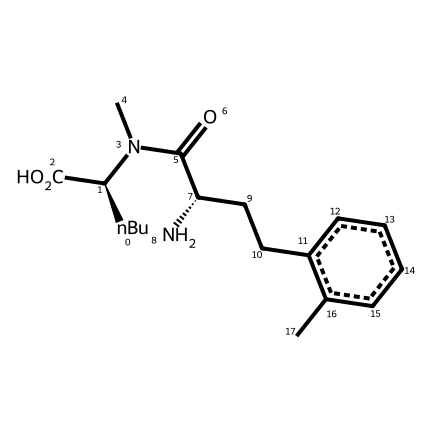 CCCC[C@@H](C(=O)O)N(C)C(=O)[C@@H](N)CCc1ccccc1C